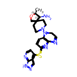 C[C@@H]1OCC2(CCN(N3CC=Nc4nc(Sc5ccnc6[nH]ncc56)ccc43)CC2)[C@@H]1N